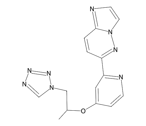 CC(Cn1cnnn1)Oc1ccnc(-c2ccc3nccn3n2)c1